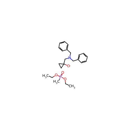 CCOP(C)(=O)OCC.[O]C1(CN(Cc2ccccc2)Cc2ccccc2)CC1